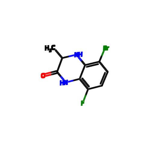 CC1Nc2c(Br)ccc(F)c2NC1=O